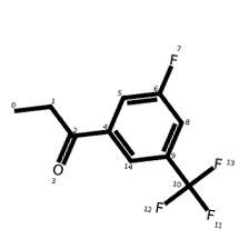 CCC(=O)c1cc(F)cc(C(F)(F)F)c1